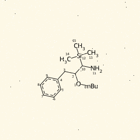 CCCCOC(Cc1ccccc1)C(N)[Si](C)(C)C